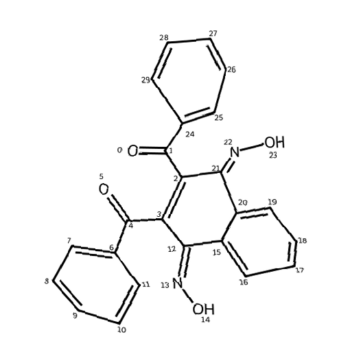 O=C(C1=C(C(=O)c2ccccc2)C(=NO)c2ccccc2C1=NO)c1ccccc1